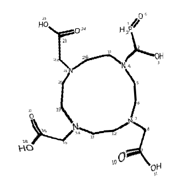 O=[PH2]C(O)N1CCN(CC(=O)O)CCN(CC(=O)O)CCN(CC(=O)O)CC1